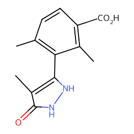 Cc1ccc(C(=O)O)c(C)c1-c1[nH][nH]c(=O)c1C